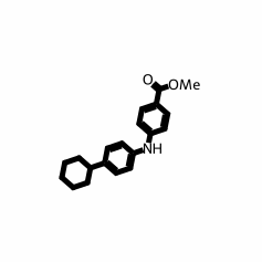 COC(=O)c1ccc(Nc2ccc(C3CCCCC3)cc2)cc1